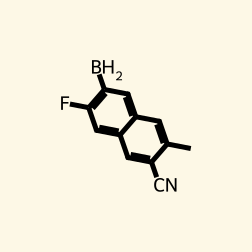 Bc1cc2cc(C)c(C#N)cc2cc1F